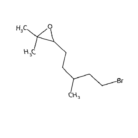 CC(CCBr)CCC1OC1(C)C